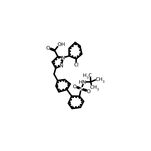 CC(C)(C)NS(=O)(=O)c1ccccc1-c1ccc(Cc2cc(C(=O)O)n(-c3ccccc3Cl)n2)cc1